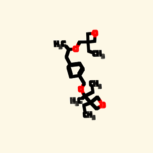 CCC1(COC(C)Cc2ccc(COC(C)(CC)C3(CC)COC3)cc2)COC1